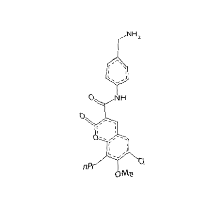 CCCc1c(OC)c(Cl)cc2cc(C(=O)Nc3ccc(CN)cc3)c(=O)oc12